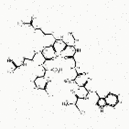 CC[C@H](C)[C@H](NC(=O)[C@H](Cc1c[nH]c2ccccc12)NC(=O)[C@H](C)N)C(=O)NCC(=O)N[C@@H](CC(C)C)C(=O)N[C@@H](CCCNC(=N)N)C(=O)N[C@@H](CCCNC(=N)N)C(=O)N[C@@H](CCCNC(=N)N)C(=O)O